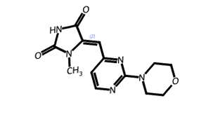 CN1C(=O)NC(=O)/C1=C/c1ccnc(N2CCOCC2)n1